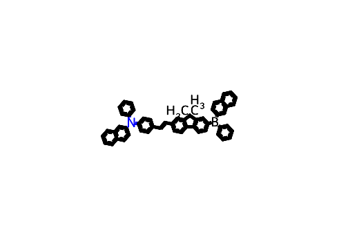 CC1(C)c2cc(/C=C/c3ccc(N(c4ccccc4)c4ccc5ccccc5c4)cc3)ccc2-c2ccc(B(c3ccccc3)c3ccc4ccccc4c3)cc21